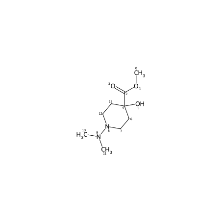 COC(=O)C1(O)CCN(N(C)C)CC1